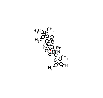 Cc1ccc([Si](c2ccc(C)cc2)(c2ccc(C)cc2)c2cccc(-c3ccc(C#N)c(N(c4cc(C(C)C)c5ccc6c(N(c7cc(-c8cccc([Si](c9ccc(C)cc9)(c9ccc(C)cc9)c9ccc(C)cc9)c8)ccc7C#N)c7cccc8c7oc7ccccc78)cc(C(C)C)c7ccc4c5c76)c4cccc5c4oc4ccccc45)c3)c2)cc1